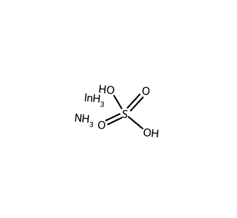 N.O=S(=O)(O)O.[InH3]